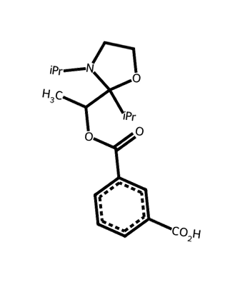 CC(C)N1CCOC1(C(C)C)C(C)OC(=O)c1cccc(C(=O)O)c1